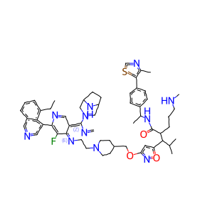 C=N/C(=C1/C=NC(c2cncc3cccc(CC)c23)=C(F)/C1=N/CCN1CCC(COc2cc(C(C(C)C)C(CCCNC)C(=O)NC(C)c3ccc(-c4scnc4C)cc3)on2)CC1)N1CC2CCC(C1)N2